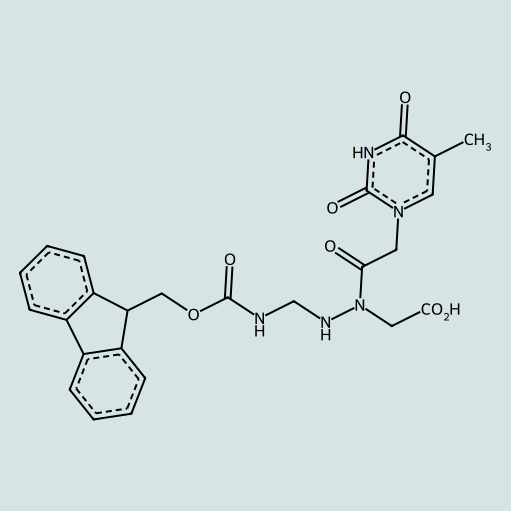 Cc1cn(CC(=O)N(CC(=O)O)NCNC(=O)OCC2c3ccccc3-c3ccccc32)c(=O)[nH]c1=O